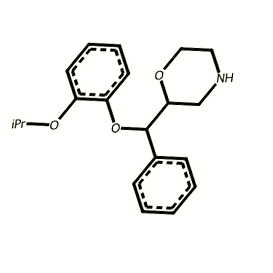 CC(C)Oc1ccccc1OC(c1ccccc1)C1CNCCO1